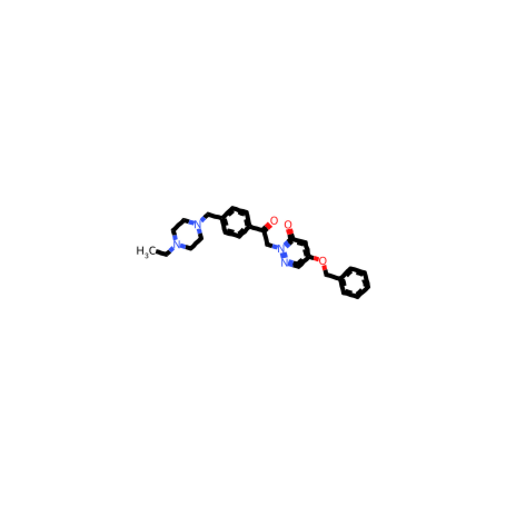 CCN1CCN(Cc2ccc(C(=O)Cn3ncc(OCc4ccccc4)cc3=O)cc2)CC1